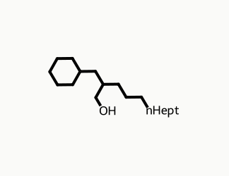 CCCCCCCCCCC(CO)CC1CCCCC1